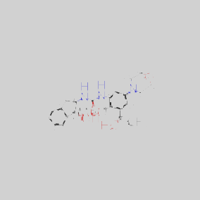 COc1c(NC(=O)N[C@@H]2Cc3ccccc3[C@@H]2O)cc(N2CCOCC2)cc1[C@@H](O)C(F)(F)F